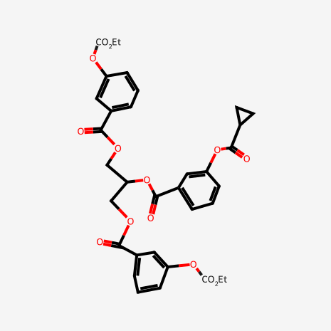 CCOC(=O)Oc1cccc(C(=O)OCC(COC(=O)c2cccc(OC(=O)OCC)c2)OC(=O)c2cccc(OC(=O)C3CC3)c2)c1